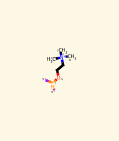 C[N+](C)(C)CCO[PH-](I)I